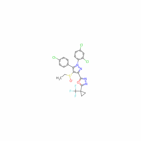 CC[S+]([O-])c1c(-c2nnc(C3(C(F)(F)F)CC3)o2)nn(-c2ccc(Cl)cc2Cl)c1-c1ccc(Cl)cc1